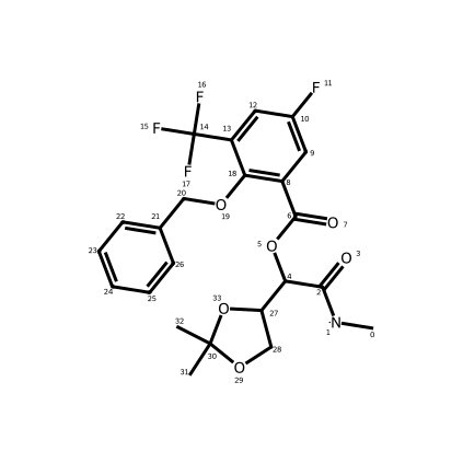 C[N]C(=O)C(OC(=O)c1cc(F)cc(C(F)(F)F)c1OCc1ccccc1)C1COC(C)(C)O1